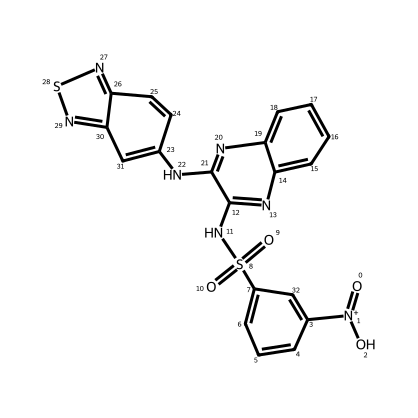 O=[N+](O)c1cccc(S(=O)(=O)Nc2nc3ccccc3nc2Nc2ccc3nsnc3c2)c1